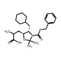 CC(C[C@@H]1OC(C)(C)N(C(=O)OCc2ccccc2)[C@H]1CC1CCCCC1)C(=O)O